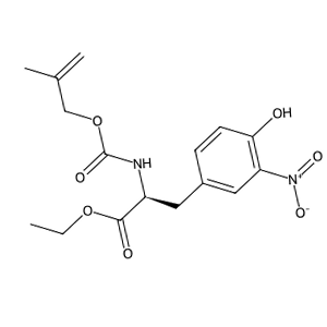 C=C(C)COC(=O)N[C@@H](Cc1ccc(O)c([N+](=O)[O-])c1)C(=O)OCC